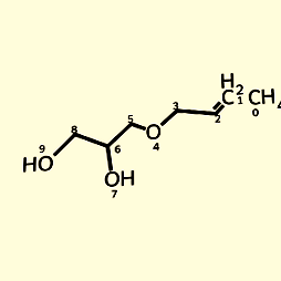 C.C=CCOCC(O)CO